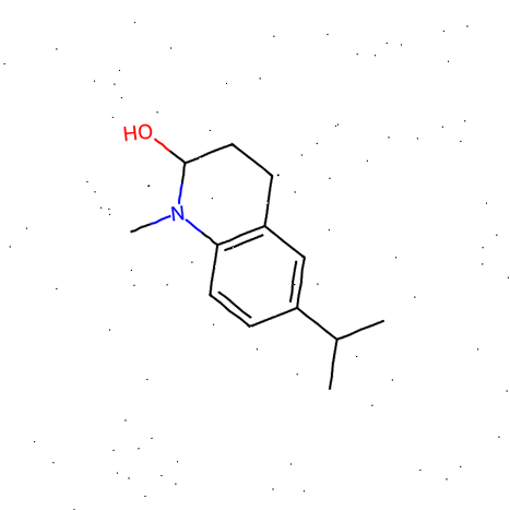 CC(C)c1ccc2c(c1)[CH]CC(O)N2C